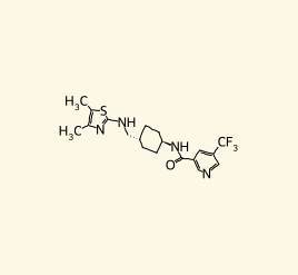 Cc1nc(NC[C@H]2CC[C@H](NC(=O)c3cncc(C(F)(F)F)c3)CC2)sc1C